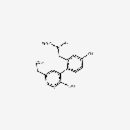 CCOC(=O)N(CC)Cc1cc(C)ccc1-c1cc(CC(=O)O)cnc1OC